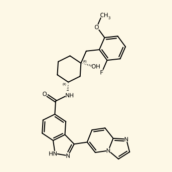 COc1cccc(F)c1C[C@]1(O)CCC[C@@H](NC(=O)c2ccc3[nH]nc(-c4ccc5nccn5c4)c3c2)C1